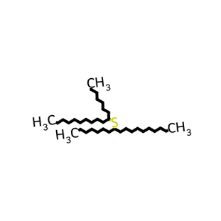 CCCCCCCCCCC(CCCCCCC)SC(CCCCCCC)CCCCCCCCCC